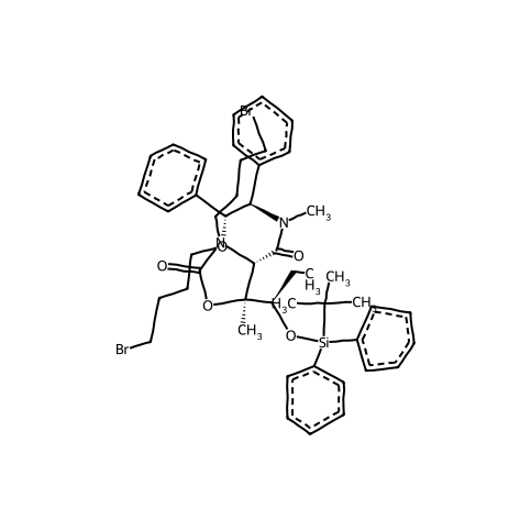 CC[C@@H](O[Si](c1ccccc1)(c1ccccc1)C(C)(C)C)[C@@]1(C)OC(=O)N(CCCCBr)[C@@H]1C(=O)N(C)[C@H](c1ccccc1)[C@H](OCCCCBr)c1ccccc1